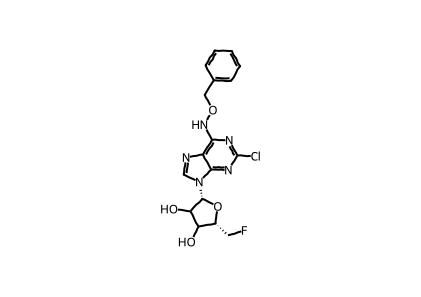 OC1C(O)[C@@H](CF)O[C@H]1n1cnc2c(NOCc3ccccc3)nc(Cl)nc21